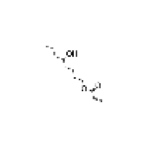 C=CC(=O)OCCCCC(O)CCC